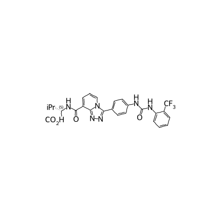 CC(C)[C@H](NC(=O)c1cccn2c(-c3ccc(NC(=O)Nc4ccccc4C(F)(F)F)cc3)nnc12)C(=O)O